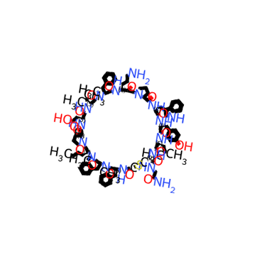 CCCC[C@H]1C(=O)N2CCC[C@@H]2C(=O)N[C@@H](CC(=O)O)C(=O)N[C@@H](C(C)C)C(=O)N(C)C(Cc2ccccc2)C(=O)N[C@@H](CCCN)C2OC2N2CCCC2C(=O)N[C@@H](Cc2c[nH]c3ccccc23)C(=O)N[C@@H](Cc2ccc(O)cc2)C(=O)N[C@@H](CC(C)C)C(=O)N[C@H](C(=O)NCC(N)=O)CSCC(=O)N[C@@H](Cc2ccccc2)C(=O)N(C)C(Cc2ccccc2)C(=O)N1C